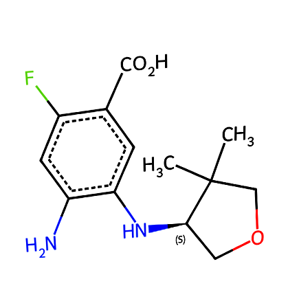 CC1(C)COC[C@H]1Nc1cc(C(=O)O)c(F)cc1N